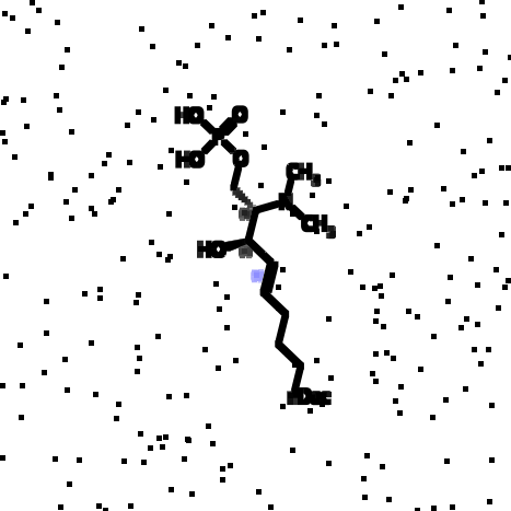 CCCCCCCCCCCCC/C=C/[C@@H](O)[C@H](COP(=O)(O)O)N(C)C